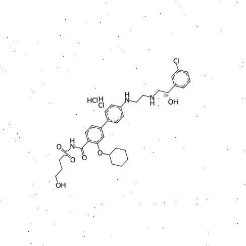 Cl.Cl.O=C(NS(=O)(=O)CCCO)c1ccc(-c2ccc(NCCNC[C@@H](O)c3cccc(Cl)c3)cc2)cc1OC1CCCCC1